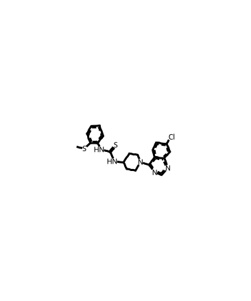 CSc1ccccc1NC(=S)NC1CCN(c2ncnc3cc(Cl)ccc23)CC1